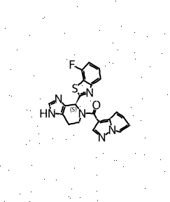 O=C(c1cnn2ccccc12)N1CCc2[nH]cnc2[C@H]1c1nc2cccc(F)c2s1